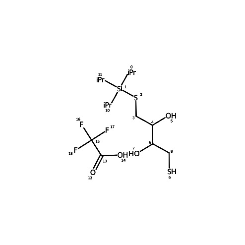 CC(C)[Si](SCC(O)C(O)CS)(C(C)C)C(C)C.O=C(O)C(F)(F)F